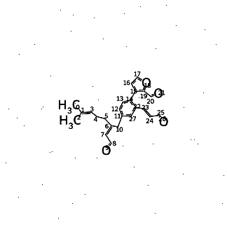 CC(C)=CCC/C(=C/C=O)Cc1ccc(-c2ccoc2C=O)c(/C=C/C=O)c1